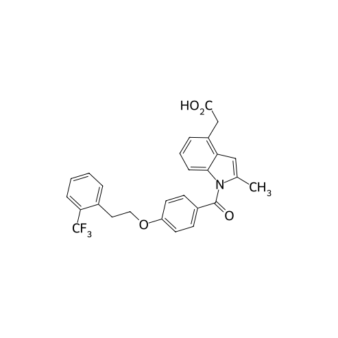 Cc1cc2c(CC(=O)O)cccc2n1C(=O)c1ccc(OCCc2ccccc2C(F)(F)F)cc1